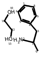 CC(N)Cc1ccccc1.OCCO